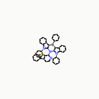 c1ccc(B2c3c(n(-c4ccccc4)c4ccccc34)N(c3nccc4c3sc3ccccc34)c3c2c2ccccc2n3-c2ccccc2)cc1